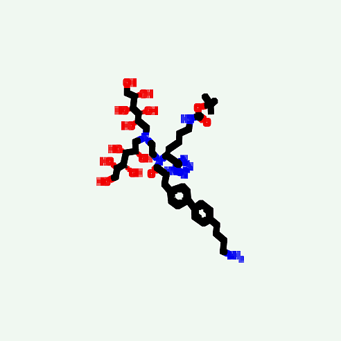 CC(C)(C)OC(=O)NCCCC[C@@H](c1nnn[nH]1)N(CCN(C[C@H](O)[C@@H](O)[C@H](O)[C@H](O)CO)C[C@H](O)[C@@H](O)[C@H](O)[C@H](O)CO)C(=O)CCc1ccc(-c2ccc(CCCCN)cc2)cc1